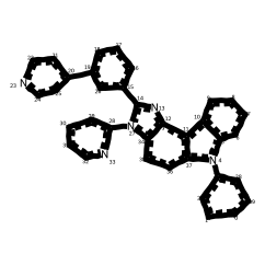 c1ccc(-n2c3ccccc3c3c4nc(-c5cccc(-c6ccncc6)c5)n(-c5ccccn5)c4ccc32)cc1